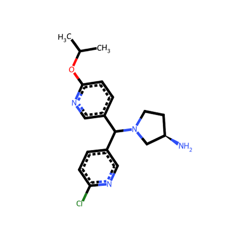 CC(C)Oc1ccc(C(c2ccc(Cl)nc2)N2CC[C@@H](N)C2)cn1